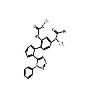 CCCC(=O)N(C)c1ccc(-c2ccccc2-c2nnnn2-c2ccccc2)c(NC(=O)OC(C)(C)C)c1